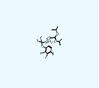 CC(C)OC(O[SiH2]C(F)(F)Oc1ccc(F)c(F)c1F)OC(C)C